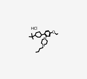 CCCCN1CCN(c2cc(OCC)ccc2C2CCC(C(C)(C)C)CC2)CC1.Cl